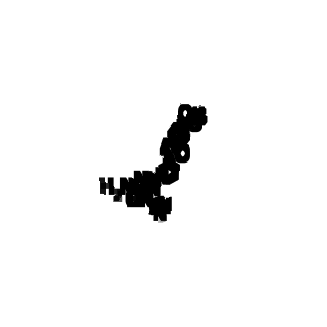 Cn1cc(Nc2nc(N3CCC[C@@H](N4CCC5(CCN(C(=O)OC(C)(C)C)CC5)C4=O)C3)cnc2C(N)=O)cn1